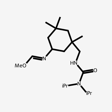 COC=NC1CC(C)(C)CC(C)(CNC(=O)N(C(C)C)C(C)C)C1